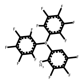 Cc1c(B(c2c(F)c(F)c(F)c(F)c2F)c2c(F)c(F)c(F)c(F)c2F)cc(F)c(F)c1F